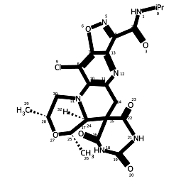 CC(C)NC(=O)c1noc2c(Cl)c3c(nc12)CC1(C(=O)NC(=O)NC1=O)[C@H]1[C@H](C)O[C@H](C)CN31